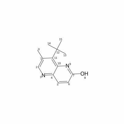 Cc1cnc2ccc(O)nc2c1C(C)(C)C